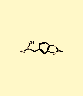 CB1Oc2ccc(CB(O)O)cc2O1